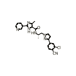 Cc1nc(-c2cccnc2)[nH]c1C(=O)N[C@@H](C)Cn1ccc(-c2ccc(C#N)c(Cl)c2)n1